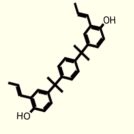 CC=Cc1cc(C(C)(C)c2ccc(C(C)(C)c3ccc(O)c(C=CC)c3)cc2)ccc1O